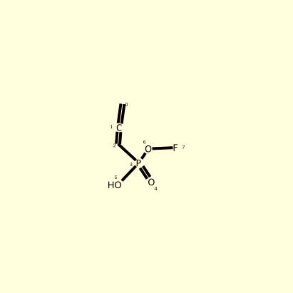 C=C=CP(=O)(O)OF